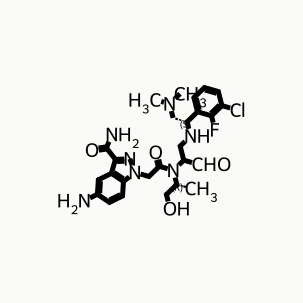 C[C@H](CO)N(C(=O)Cn1nc(C(N)=O)c2cc(N)ccc21)C(C=O)CN[C@H](CN(C)C)c1cccc(Cl)c1F